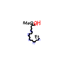 CC/C=C\C/C=C\C/C=C\C/C=C\C/C=C/CCC(CO)OC